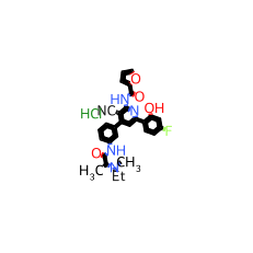 CCN(C)C(C)C(=O)Nc1cccc(-c2cc(-c3ccc(F)cc3O)nc(NC(=O)c3ccco3)c2C#N)c1.Cl